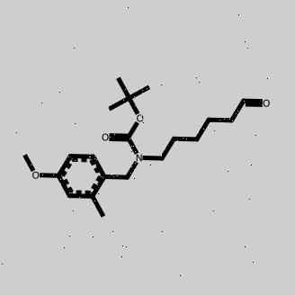 COc1ccc(CN(CCCCCC=O)C(=O)OC(C)(C)C)c(C)c1